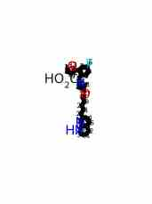 O=C(O)C(c1ccc(F)cc1C1CCCO1)N1CC(OCCCCCc2ccc3c(n2)NCCC3)C1